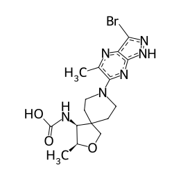 Cc1nc2c(Br)n[nH]c2nc1N1CCC2(CC1)CO[C@@H](C)[C@H]2NC(=O)O